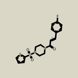 O=C(/C=C/c1ccc(F)cc1)N1CCN(S(=O)(=O)c2cccs2)CC1